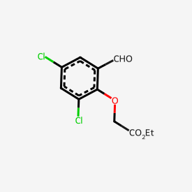 CCOC(=O)COc1c(Cl)cc(Cl)cc1C=O